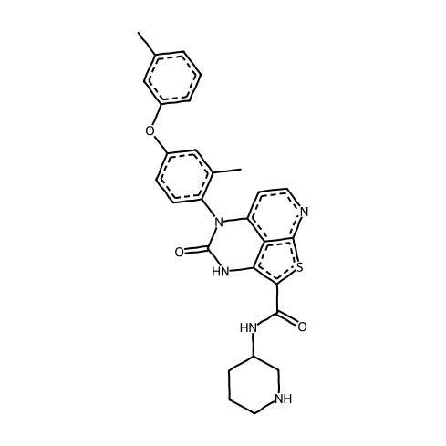 Cc1cccc(Oc2ccc(N3C(=O)Nc4c(C(=O)NC5CCCNC5)sc5nccc3c45)c(C)c2)c1